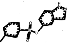 O=S(=O)(Oc1ccc2[nH]ncc2c1)c1cccc(F)c1